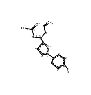 C=CC[C@H](NC(=O)O)c1ccn(-c2ccc(F)cc2)n1